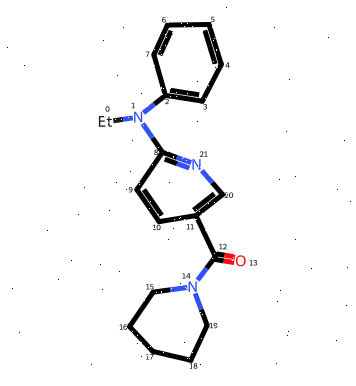 CCN(c1ccccc1)c1ccc(C(=O)N2CCCCC2)cn1